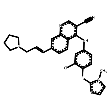 Cn1ccnc1Sc1ccc(Nc2c(C#N)cnc3cc(C=CCN4CCCC4)ccc23)cc1Cl